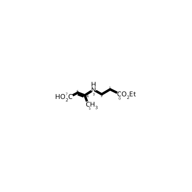 CCOC(=O)CCN/C(C)=C/C(=O)O